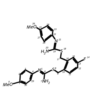 COc1ccc(/N=C(\N)SCc2ccc(F)cc2CS/C(N)=N/c2ccc(OC)cc2)cc1